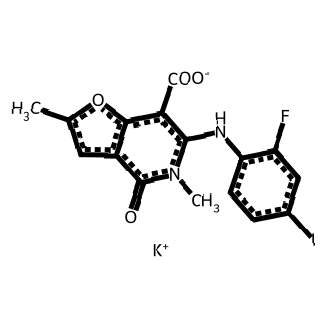 Cc1cc2c(=O)n(C)c(Nc3ccc(I)cc3F)c(C(=O)[O-])c2o1.[K+]